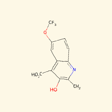 Cc1nc2ccc(OC(F)(F)F)cc2c(C(=O)O)c1O